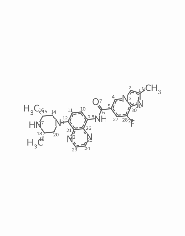 Cc1cn2cc(C(=O)Nc3ccc(N4C[C@@H](C)N[C@@H](C)C4)c4nccnc34)cc(F)c2n1